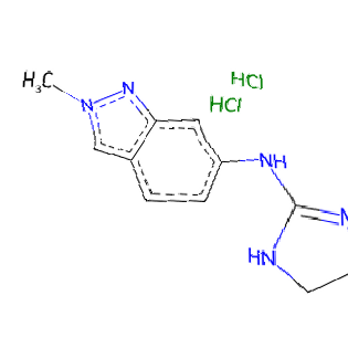 Cl.Cl.Cn1cc2ccc(NC3=NCCN3)cc2n1